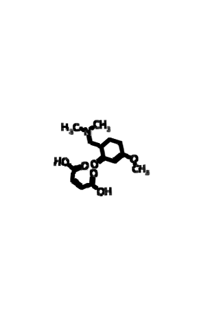 COC1=CC(=O)C(CN(C)C)CC1.O=C(O)/C=C\C(=O)O